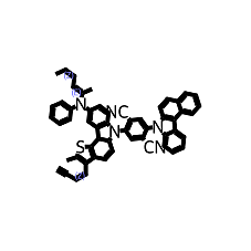 C#C/C=C\c1c(C)sc2c1C=CC1C2c2cc(N(/C(C)=C/C=C\C)c3ccccc3)ccc2N1c1cc(C#N)c(-n2c3ccccc3c3c4ccccc4ccc32)cc1C#N